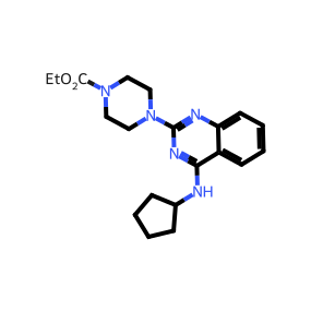 CCOC(=O)N1CCN(c2nc(NC3CCCC3)c3ccccc3n2)CC1